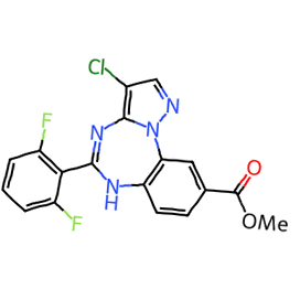 COC(=O)c1ccc2c(c1)-n1ncc(Cl)c1N=C(c1c(F)cccc1F)N2